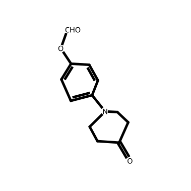 O=COc1ccc(N2CCC(=O)CC2)cc1